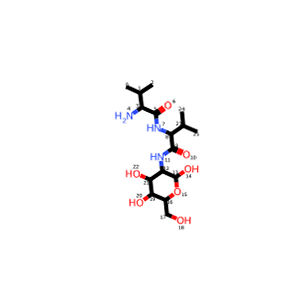 CC(C)C(N)C(=O)NC(C(=O)NC1C(O)OC(CO)C(O)C1O)C(C)C